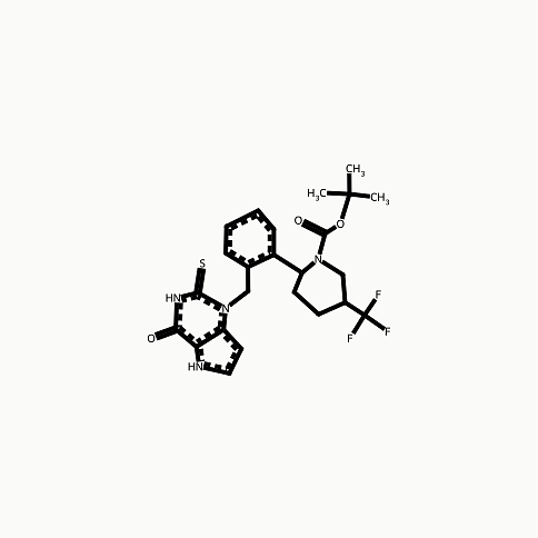 CC(C)(C)OC(=O)N1CC(C(F)(F)F)CCC1c1ccccc1Cn1c(=S)[nH]c(=O)c2[nH]ccc21